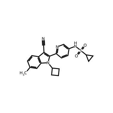 Cc1ccc2c(C#N)c(-c3ccc(NS(=O)(=O)C4CC4)cn3)n(C3CCC3)c2c1